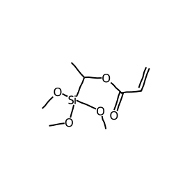 C=CC(=O)OC(C)[Si](OC)(OC)OC